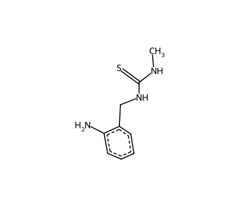 CNC(=S)NCc1ccccc1N